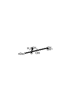 CCCCCCCCCCCCCCCCCC(=O)C(CCCCCCCCCCCCCCCCC(C)O)CCN(C)C.Cl